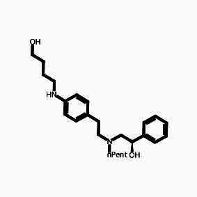 CCCCCN(CCc1ccc(NCCCCO)cc1)C[C@H](O)c1ccccc1